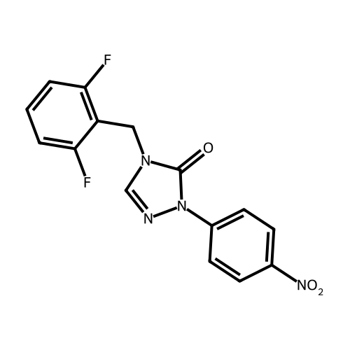 O=c1n(Cc2c(F)cccc2F)cnn1-c1ccc([N+](=O)[O-])cc1